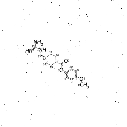 COc1ccc(OC(=O)[C@H]2CC[C@H](CNC(=N)N)CC2)cc1